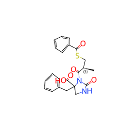 C[C@H](CSC(=O)c1ccccc1)C(=O)N1C(=O)NCC1(Cc1ccccc1)C(=O)O